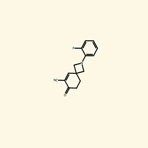 N#CC1=CC2(CCC1=O)CN(c1ccccc1F)C2